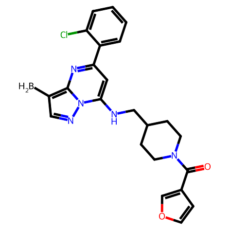 Bc1cnn2c(NCC3CCN(C(=O)c4ccoc4)CC3)cc(-c3ccccc3Cl)nc12